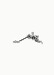 CCCCCCCCCCCCCCCCCCOP(=O)(O)OC[C@H]1O[C@@H](n2ccc(N)nc2=O)[C@H](O)[C@@H]1O